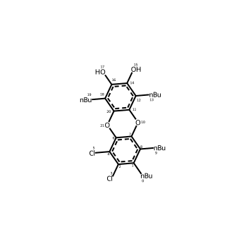 CCCCc1c(Cl)c(Cl)c2c(c1CCCC)Oc1c(CCCC)c(O)c(O)c(CCCC)c1O2